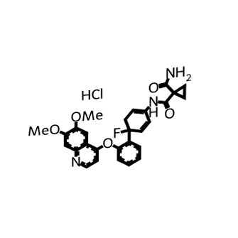 COc1cc2nccc(Oc3ccccc3C3(F)C=CC(NC(=O)C4(C(N)=O)CC4)=CC3)c2cc1OC.Cl